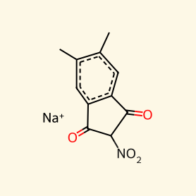 Cc1cc2c(cc1C)C(=O)C([N+](=O)[O-])C2=O.[Na+]